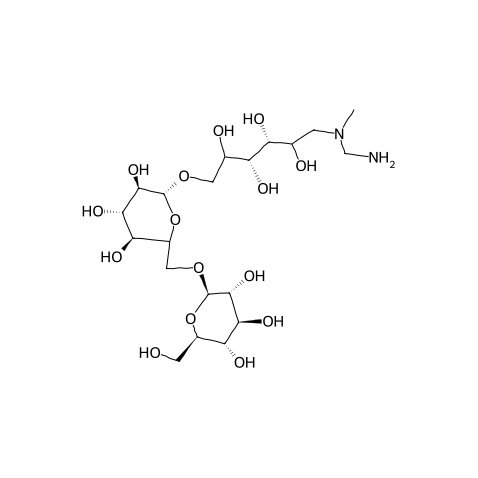 CN(CN)CC(O)[C@@H](O)[C@H](O)C(O)CO[C@@H]1OC(CO[C@@H]2O[C@H](CO)[C@@H](O)[C@H](O)[C@H]2O)[C@@H](O)[C@H](O)[C@H]1O